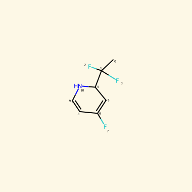 CC(F)(F)C1C=C(F)C=[C]N1